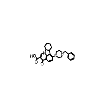 O=C(O)c1cn2c3c(c(N4CCN(Cc5ccccc5)CC4)ccc3c1=O)C1CCCCC12